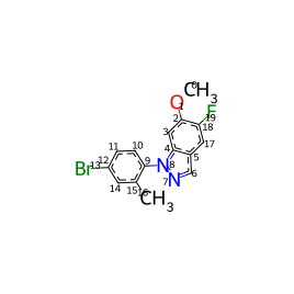 COc1cc2c(cnn2-c2ccc(Br)cc2C)cc1F